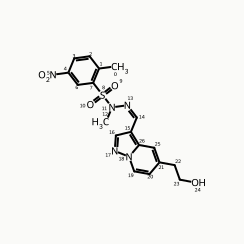 Cc1ccc([N+](=O)[O-])cc1S(=O)(=O)N(C)/N=C\c1cnn2ccc(CCO)cc12